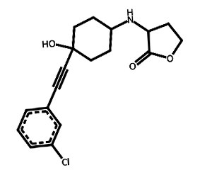 O=C1OCCC1NC1CCC(O)(C#Cc2cccc(Cl)c2)CC1